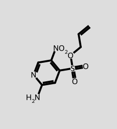 C=CCOS(=O)(=O)c1cc(N)ncc1[N+](=O)[O-]